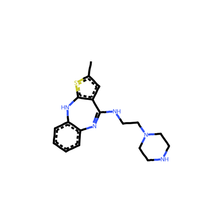 Cc1cc2c(s1)Nc1ccccc1N=C2NCCN1CCNCC1